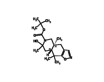 CC(C)(C)OC(=O)N1C[C@@]2(C)Cc3cnoc3C(C)(C)[C@@H]2CC1(C)O